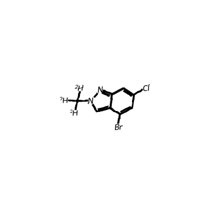 [2H]C([2H])([2H])n1cc2c(Br)cc(Cl)cc2n1